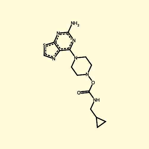 Nc1nc(N2CCN(OC(=O)NCC3CC3)CC2)c2ncsc2n1